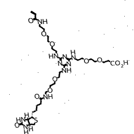 C=CC(=O)NCCOCCOCCNc1nc(NCCOCCOCCC(=O)O)nc(NCCOCCOCNC(=O)CCCC[C@@H]2SC[C@@H]3NC(=O)N[C@@H]32)n1